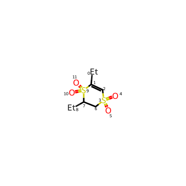 CCC1=CS(=O)(=O)CC(CC)S1(=O)=O